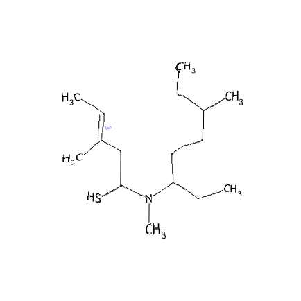 C/C=C(\C)CC(S)N(C)C(CC)CCC(C)CC